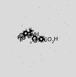 C[C@@H]1C[C@H](NC(=O)C2(c3ccc4c(c3)OC(F)(F)O4)CC2)C[C@H](c2ccc(C(=O)O)cc2)O1